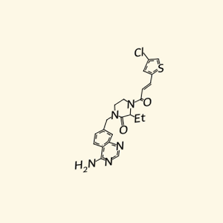 CCC1C(=O)N(Cc2ccc3c(N)ncnc3c2)CCN1C(=O)/C=C/c1cc(Cl)cs1